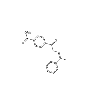 COC(=O)c1ccc(C(=O)CC=C(C)c2ccccc2)cc1